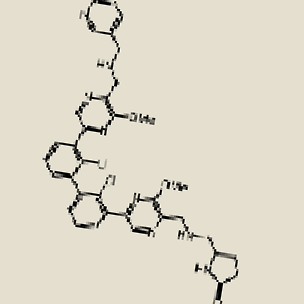 COc1nc(-c2cccc(-c3cccc(-c4cnc(CNCC5CCC(=O)N5)c(OC)n4)c3Cl)c2Cl)cnc1CNCc1cccnc1